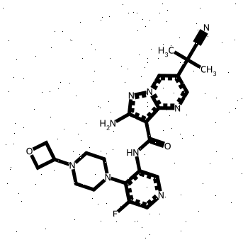 CC(C)(C#N)c1cnc2c(C(=O)Nc3cncc(F)c3N3CCN(C4COC4)CC3)c(N)nn2c1